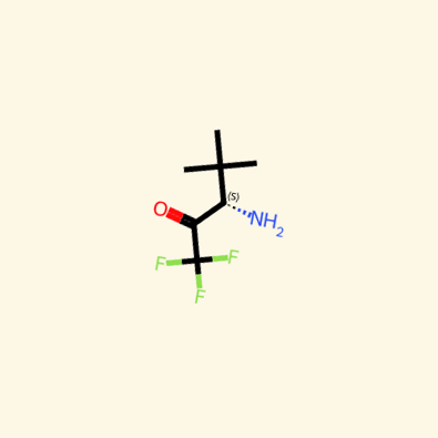 CC(C)(C)[C@H](N)C(=O)C(F)(F)F